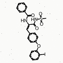 CS(=O)(=O)NC(=O)/C(=C\c1ccc(Oc2ccccc2I)cc1)NC(=O)c1ccccc1